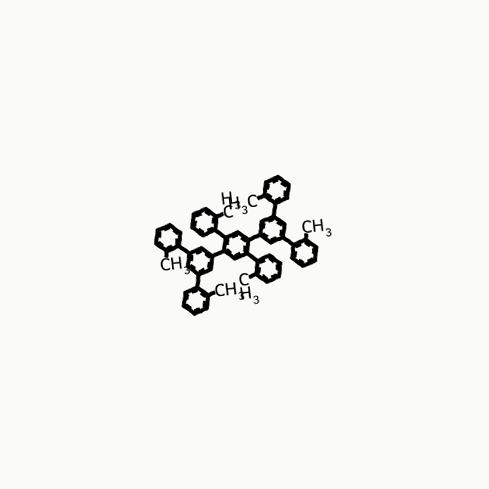 Cc1ccccc1-c1cc(-c2ccccc2C)cc(-c2cc(-c3ccccc3C)c(-c3cc(-c4ccccc4C)cc(-c4ccccc4C)c3)cc2-c2ccccc2C)c1